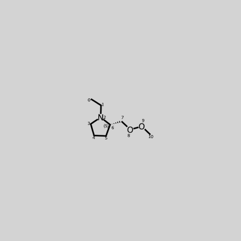 CCN1CCC[C@H]1COOC